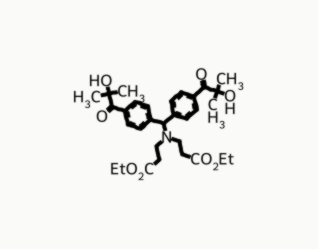 CCOC(=O)CCN(CCC(=O)OCC)C(c1ccc(C(=O)C(C)(C)O)cc1)c1ccc(C(=O)C(C)(C)O)cc1